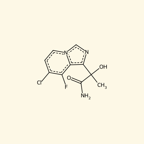 CC(O)(C(N)=O)c1ncn2ccc(Cl)c(F)c12